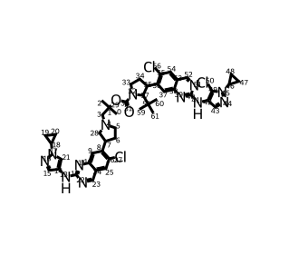 CC(C)(CN1CCC(c2cc3nc(Nc4cnn(C5CC5)c4)ncc3cc2Cl)C1)OC(=O)N1CCC(c2cc3nc(Nc4cnn(C5CC5)c4Cl)ncc3cc2Cl)C1C(C)(C)C